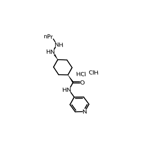 CCCNN[C@H]1CC[C@@H](C(=O)Nc2ccncc2)CC1.Cl.Cl